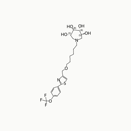 O[C@H]1[C@H](O)[C@@H](O)CN(CCCCCCOCc2csc(-c3ccc(OC(F)(F)F)cc3)n2)C[C@@H]1O